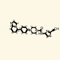 C#Cc1nc(NC(=O)N2CCN(c3ccc(-c4cccc5nccn45)cc3)CC2)cs1